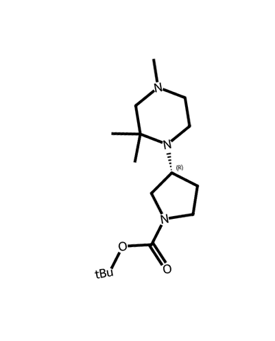 CN1CCN([C@@H]2CCN(C(=O)OC(C)(C)C)C2)C(C)(C)C1